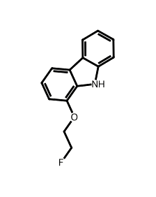 FCCOc1cccc2c1[nH]c1ccccc12